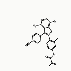 C=C(C)C(=O)Nc1ccc(-c2sc3c(Br)cnc(N)c3c2-c2ccc(C#N)cc2)c(C)c1